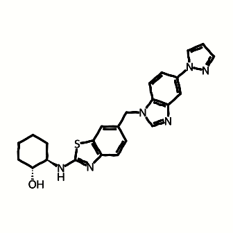 O[C@@H]1CCCC[C@H]1Nc1nc2ccc(Cn3cnc4cc(-n5cccn5)ccc43)cc2s1